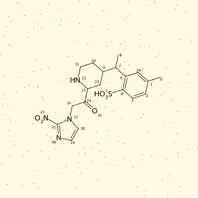 Cc1ccc(S(=O)(=O)O)c(C(C)C2CCNC(C(=O)Cn3ccnc3[N+](=O)[O-])C2)c1